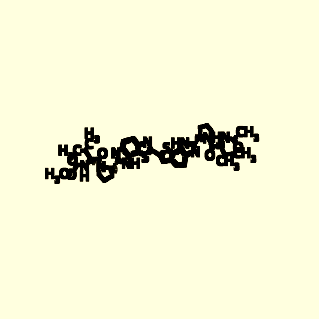 COC(=O)N[C@H](C(=O)N1CCC[C@H]1c1nc2ccc3nc(-c4cc5ccc6nc([C@@H]7CCCN7C(=O)[C@@H](NC(C)=O)C(C)C)[nH]c6c5s4)sc3c2[nH]1)C(C)C